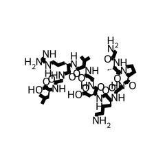 CC(C)C[C@H](NC(=O)CNC(=O)[C@H](CCCNC(=N)N)NC(=O)[C@@H](NC(=O)CNC(=O)[C@H](CC(=O)O)NC(=O)[C@H](CCCCN)NC(=O)CNC(=O)[C@@H]1CCCN1C(=O)[C@H](C)NC(=O)CN)C(C)C)C(=O)O